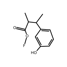 CC(C(=O)OF)C(C)c1cccc(O)c1